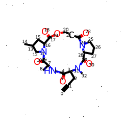 C#CCC1C(=O)NC(C)C(=O)N2CC(C)CC2C(=O)OCCC(=O)N2CCCC2C(=O)N1C